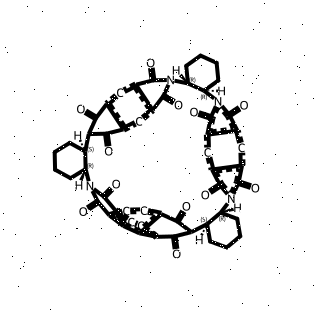 O=C1c2cc3c4cc2C(=O)C1[C@@H]1CCCC[C@H]1N1C(=O)c2ccc5c6c(ccc(c26)C1=O)C(=O)C(C5=O)[C@@H]1CCCC[C@H]1n1c(=O)c2cc5c(=O)n(c(=O)c5cc2c1=O)[C@@H]1CCCC[C@H]1N(C3=O)C4=O